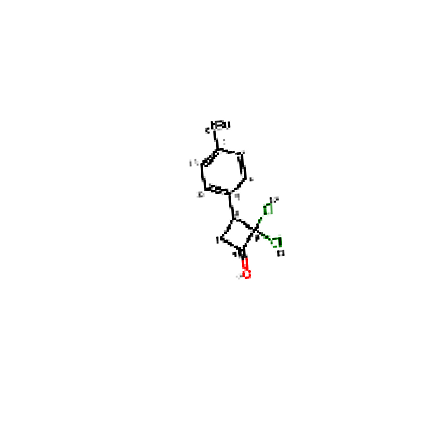 CC(C)(C)c1ccc(C2CC(=O)C2(Cl)Cl)cc1